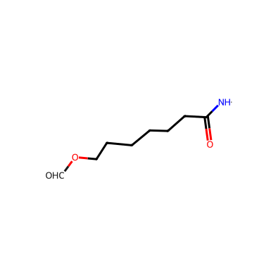 [NH]C(=O)CCCCCCOC=O